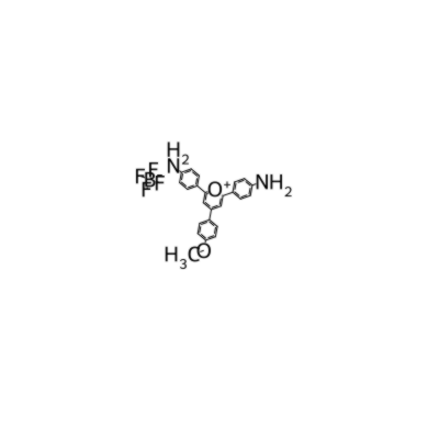 COc1ccc(-c2cc(-c3ccc(N)cc3)[o+]c(-c3ccc(N)cc3)c2)cc1.F[B-](F)(F)F